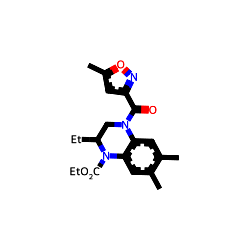 CCOC(=O)N1c2cc(C)c(C)cc2N(C(=O)c2cc(C)on2)CC1CC